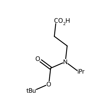 CC(C)N(CCC(=O)O)C(=O)OC(C)(C)C